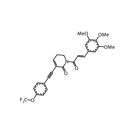 COc1cc(/C=C/C(=O)N2CCC=C(C#Cc3ccc(OC(F)(F)F)cc3)C2=O)cc(OC)c1OC